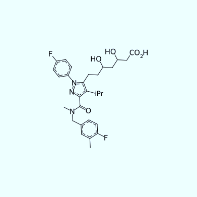 Cc1cc(CN(C)C(=O)c2nn(-c3ccc(F)cc3)c(CCC(O)CC(O)CC(=O)O)c2C(C)C)ccc1F